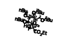 CCCCOC[C@H]1O[C@@](O)(C(F)(F)C(=O)OCC)[C@H](OCCCC)[C@@H](OCCCC)[C@H]1OCCCC